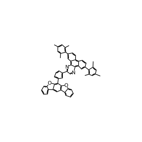 Cc1cc(C)c(-c2ccc3c4ccc(-c5c(C)cc(C)cc5C)cc4c4nc(-c5cccc(-c6c7oc8ccccc8c7cc7c6oc6ccccc67)c5)cnc4c3c2)c(C)c1